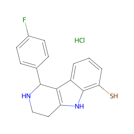 Cl.Fc1ccc(C2NCCc3[nH]c4c(S)cccc4c32)cc1